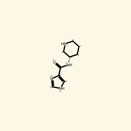 O=C(N[C@H]1CCCNC1)c1c[nH]cn1